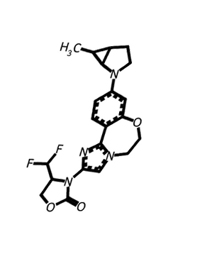 CC1C2CCN(c3ccc4c(c3)OCCn3cc(N5C(=O)OCC5C(F)F)nc3-4)C12